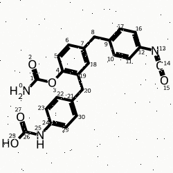 NC(=O)Oc1ccc(Cc2ccc(N=C=O)cc2)cc1Cc1ccc(NC(=O)O)cc1